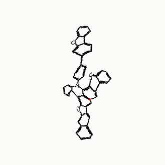 c1ccc(N(c2ccc(-c3ccc4c(c3)oc3ccccc34)cc2)c2cccc3c2sc2ccccc23)c(-c2cccc3c2oc2cc4ccccc4cc23)c1